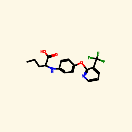 CCCC(Nc1ccc(Oc2ncccc2C(F)(F)F)cc1)C(=O)O